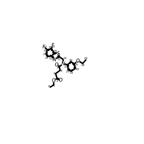 CCOC(=O)CCC(=O)N(Cc1nc2ccc(F)c(F)c2s1)c1cccc(OCC)c1